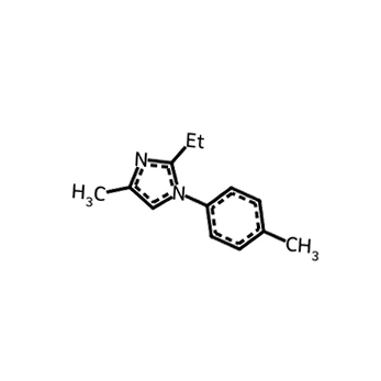 CCc1nc(C)cn1-c1ccc(C)cc1